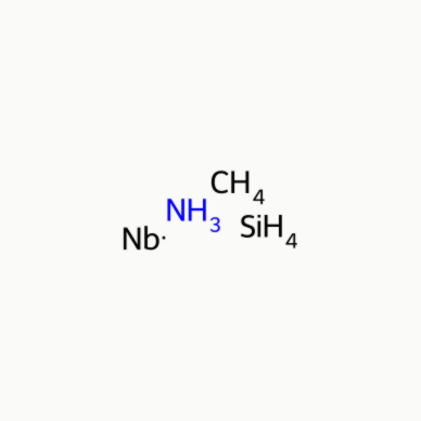 C.N.[Nb].[SiH4]